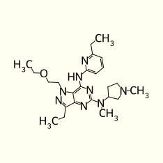 CCOCCn1nc(CC)c2nc(N(C)C3CCN(C)C3)nc(Nc3cccc(CC)n3)c21